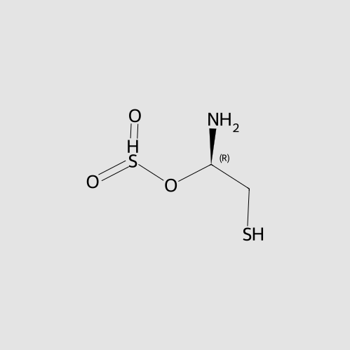 N[C@@H](CS)O[SH](=O)=O